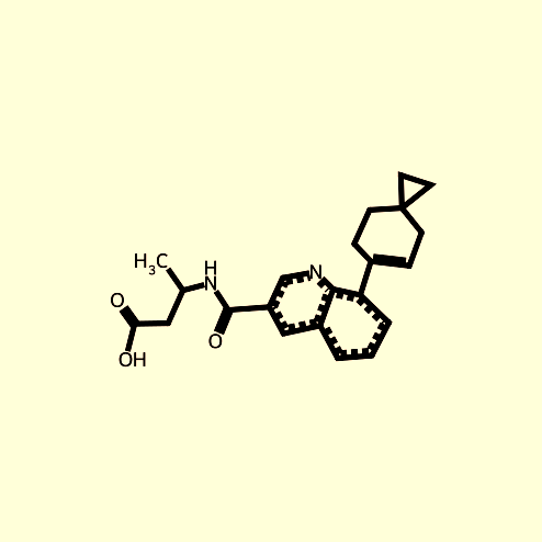 CC(CC(=O)O)NC(=O)c1cnc2c(C3=CCC4(CC3)CC4)cccc2c1